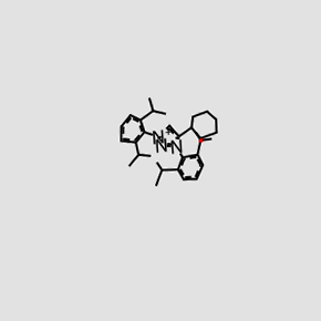 CC(C)c1cccc(C(C)C)c1-n1n[n+](-c2c(C(C)C)cccc2C(C)C)cc1C1CCCCC1